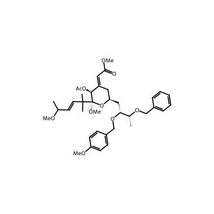 COC(=O)/C=C1\C[C@@H](C[C@@H](OCc2ccc(OC)cc2)[C@@H](C)OCc2ccccc2)O[C@@](OC)(C(C)(C)/C=C/C(C)OC)[C@H]1OC(C)=O